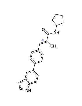 C/C(=C\c1ccc(-c2ccc3[nH]ccc3c2)cc1)C(=O)NC1CCCC1